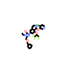 CCn1c(COCc2ccccc2)nn(-c2cc(OC(CF)C(F)F)c3c(Oc4cnccc4Cl)nccc3c2)c1=O